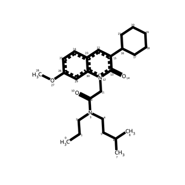 CCCN(CCC(C)C)C(=O)Cn1c(=O)c(C2CCCCC2)cc2ccc(OC)cc21